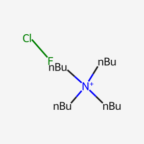 CCCC[N+](CCCC)(CCCC)CCCC.FCl